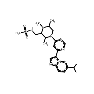 CC1C(CNS(C)(=O)=O)N(C)C(C)CN1c1cc(-c2cnc3ccc(C(F)F)nn23)ncn1